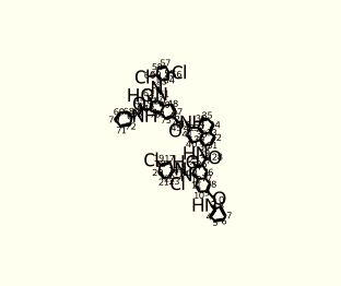 O=C(Nc1ccccc1)c1ccc2c(N=Nc3cc(Cl)ccc3Cl)c(O)c(C(=O)Nc3ccc4cccc5c4c3C=CC5NC(=O)c3ccc4c(N=Nc5cc(Cl)ccc5Cl)c(O)c(C(=O)Nc5ccccc5)cc4c3)cc2c1